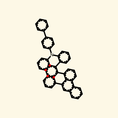 c1ccc(-c2ccc(N(c3ccccc3)c3ccccc3-c3ccccc3-c3cccc4c3c(-c3ccccc3)cc3ccccc34)cc2)cc1